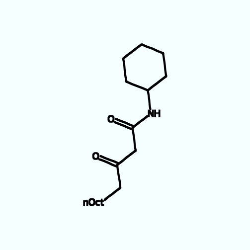 CCCCCCCCCC(=O)CC(=O)NC1CCCCC1